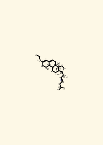 CCOC1=CC2=CC[C@@H]3C(CC[C@]4(C)[C@@H]([C@H](C)/C=C/CC(C)C)CC[C@@H]34)[C@@]2(C)CC1